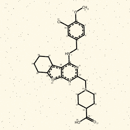 COc1ccc(CNc2nc(CN3CCC(C(=O)O)CC3)nc3oc4c(c23)CCCC4)cc1Cl